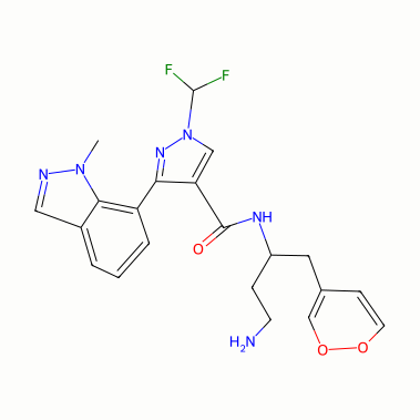 Cn1ncc2cccc(-c3nn(C(F)F)cc3C(=O)NC(CCN)CC3=COOC=C3)c21